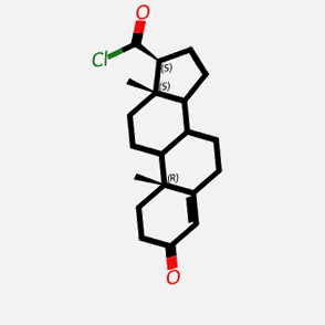 C[C@]12CCC(=O)C=C1CCC1C2CC[C@@]2(C)C1CC[C@@H]2C(=O)Cl